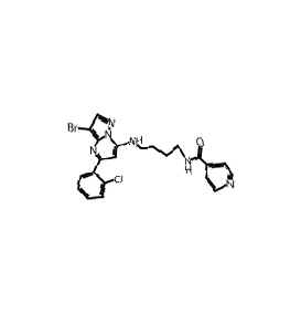 O=C(NCCCCNc1cc(-c2ccccc2Cl)nc2c(Br)cnn12)c1ccncc1